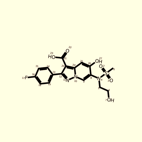 CS(=O)(=O)N(CCO)c1cn2nc(-c3ccc(F)cc3)c(C(=O)O)c2cc1O